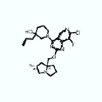 C=CCC1(O)CCCN(c2nc(OC[C@@]34CCCN3C[C@H](F)C4)nc3c(F)c(Cl)ncc23)C1